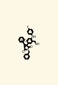 Cc1cc(Nc2ccc(F)cc2)c(C=N)cc1C12C(=O)N(Cc3ccccc3)C(=O)C1C2c1ccccc1